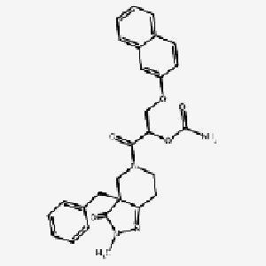 CN1N=C2CCN(C(=O)[C@@H](COc3ccc4ccccc4c3)OC(N)=O)C[C@@]2(Cc2ccccc2)C1=O